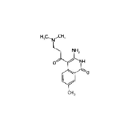 Cc1ccc2c(C(=O)CCN(C)C)c(N)[nH]c(=O)c2c1